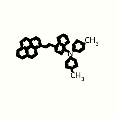 Cc1ccc(N(c2ccc(C)cc2)c2ccc(C=Cc3ccc4ccc5cccc6ccc3c4c56)c3ccccc23)cc1